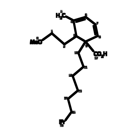 COCCC1C(C)=CC=CC1(CCCCCCC(C)C)C(=O)O